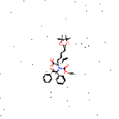 C=CC[C@@]1(CCCCB2OC(C)(C)C(C)(C)O2)C(=O)O[C@@H](c2ccccc2)[C@H](c2ccccc2)N1C(=O)OC(C)(C)C